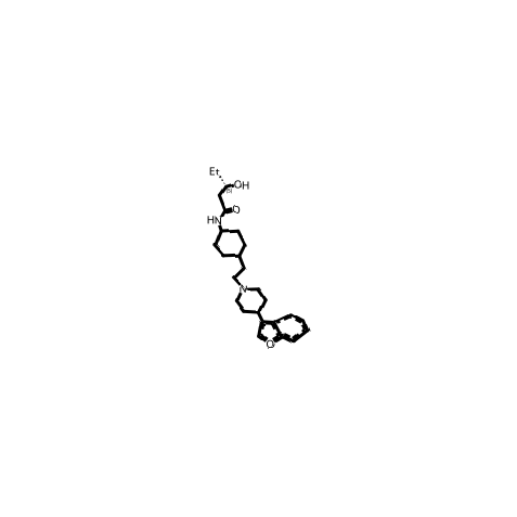 CC[C@H](O)CC(=O)NC1CCC(CCN2CCC(c3coc4ccccc34)CC2)CC1